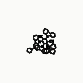 N#Cc1c(-n2c3ccccc3c3ccccc32)c(C#N)c(-n2c3ccccc3c3ccccc32)c(-n2c3ccc(-c4ccccc4)cc3c3ccc4c5ccccc5oc4c32)c1-n1c2ccccc2c2ccccc21